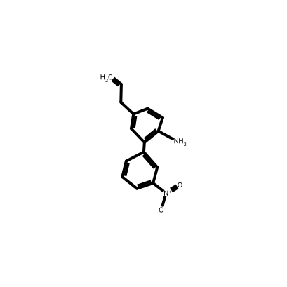 C=CCc1ccc(N)c(-c2cccc([N+](=O)[O-])c2)c1